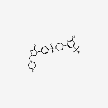 O=C1OC(CN2CCNCC2)CN1c1ccc(S(=O)(=O)N2CCN(c3cc(C(F)(F)F)cc(Cl)n3)CC2)cc1